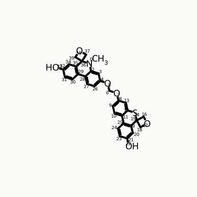 CN1c2cc(OCOc3ccc4c(c3)SC3(COC3)c3cc(O)ccc3-4)ccc2-c2ccc(O)cc2C12COC2